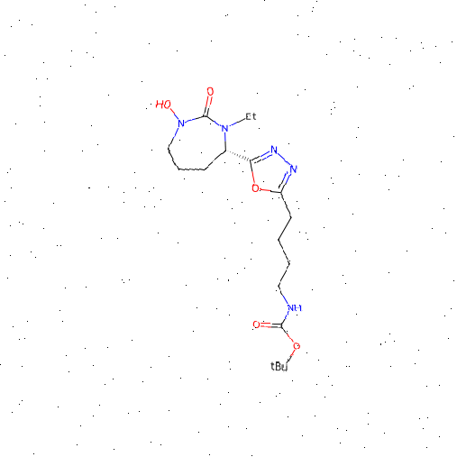 CCN1C(=O)N(O)CCC[C@H]1c1nnc(CCCCNC(=O)OC(C)(C)C)o1